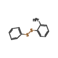 CCCc1ccccc1SSc1ccccc1